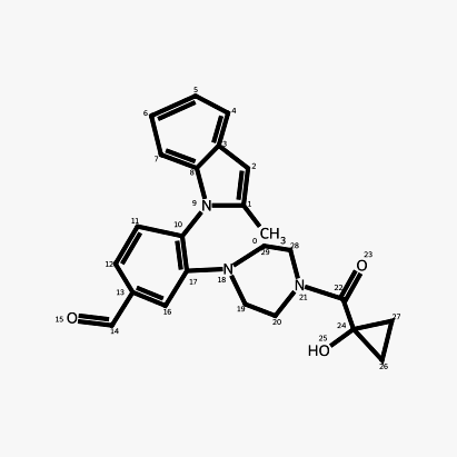 Cc1cc2ccccc2n1-c1ccc(C=O)cc1N1CCN(C(=O)C2(O)CC2)CC1